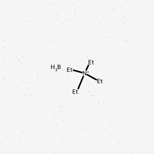 B.CC[N+](CC)(CC)CC